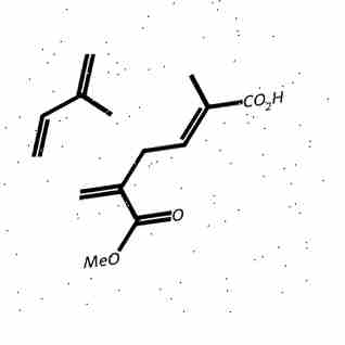 C=C(CC=C(C)C(=O)O)C(=O)OC.C=CC(=C)C